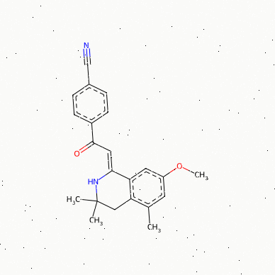 COc1cc(C)c2c(c1)/C(=C/C(=O)c1ccc(C#N)cc1)NC(C)(C)C2